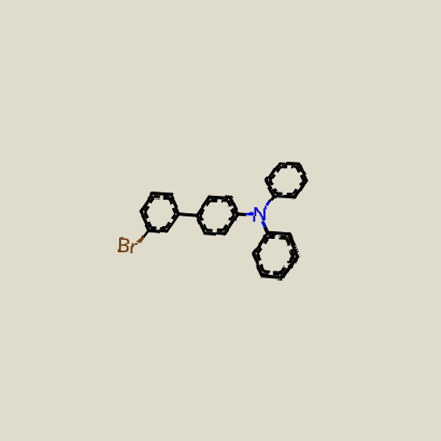 Brc1cccc(-c2ccc(N(c3ccccc3)c3ccccc3)cc2)c1